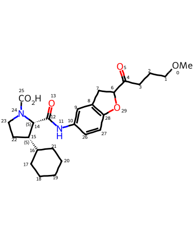 COCCCC(=O)C1Cc2cc(NC(=O)[C@@H]3[C@H](C4CCCCC4)CCN3C(=O)O)ccc2O1